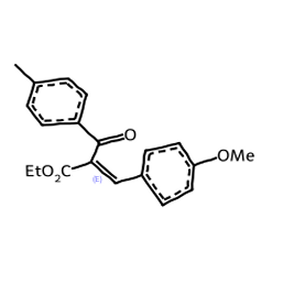 CCOC(=O)/C(=C/c1ccc(OC)cc1)C(=O)c1ccc(C)cc1